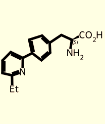 CCc1cccc(-c2ccc(C[C@H](N)C(=O)O)cc2)n1